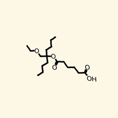 CCCCC(CCCC)(COCC)OC(=O)CCCCC(=O)O